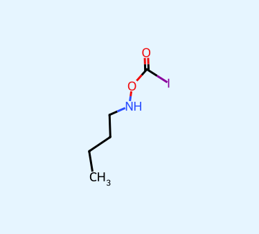 CCCCNOC(=O)I